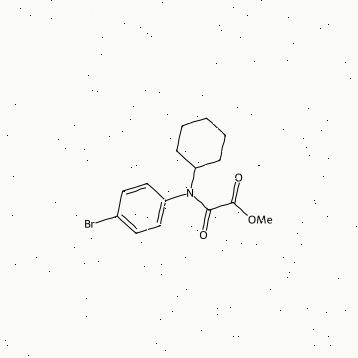 COC(=O)C(=O)N(c1ccc(Br)cc1)C1CCCCC1